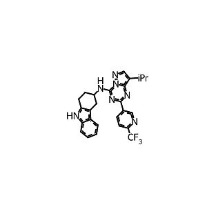 CC(C)c1cnn2c(NC3CCc4[nH]c5ccccc5c4C3)nc(-c3ccc(C(F)(F)F)nc3)nc12